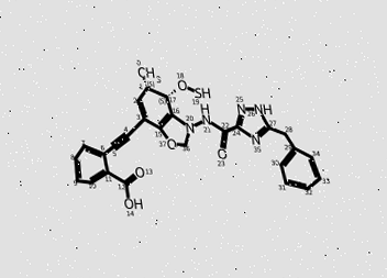 C[C@H]1C=C(C#Cc2ccccc2C(=O)O)C2=C([C@H]1OS)N(NC(=O)c1n[nH]c(Cc3ccccc3)n1)CO2